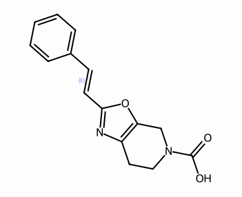 O=C(O)N1CCc2nc(/C=C/c3ccccc3)oc2C1